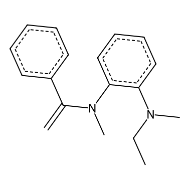 C=C(c1ccccc1)N(C)c1ccccc1N(C)CC